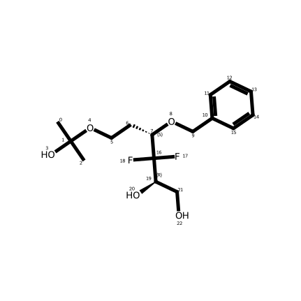 CC(C)(O)OCC[C@H](OCc1ccccc1)C(F)(F)[C@H](O)CO